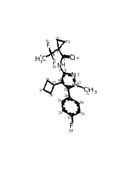 Cn1nc(NC(=O)C2(C(C)(F)F)CC2)c(C2CCC2)c1-c1ccc(F)cc1